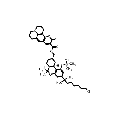 CC(C)(CCCCCCCl)c1cc2c(c(O[Si](C)(C)C(C)(C)C)c1)[C@@H]1C[C@H](COC(=O)c3cc4cc5c6c(c4oc3=O)CCCN6CCC5)CC[C@H]1C(C)(C)O2